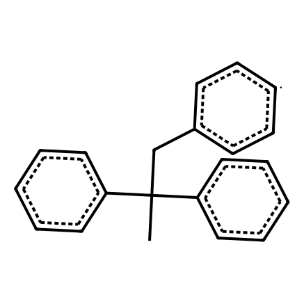 CC(Cc1cc[c]cc1)(c1ccccc1)c1ccccc1